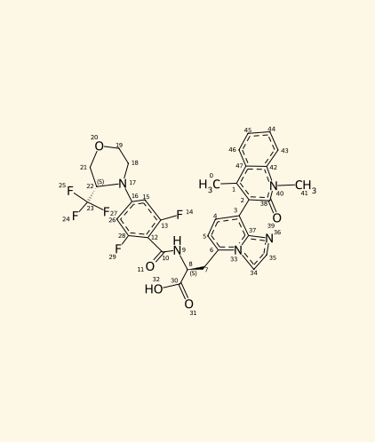 Cc1c(-c2ccc(C[C@H](NC(=O)c3c(F)cc(N4CCOC[C@H]4C(F)(F)F)cc3F)C(=O)O)n3ccnc23)c(=O)n(C)c2ccccc12